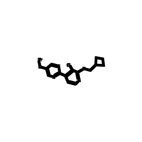 CC(C)Oc1cnc(-c2ccnc(OCC3CCC3)c2Cl)nc1